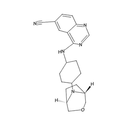 N#Cc1ccc2ncnc(NC3CCC(N4[C@@H]5CC[C@@H]4COC5)CC3)c2c1